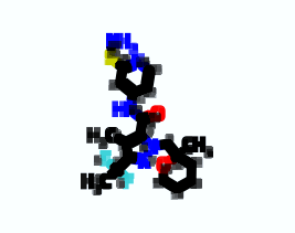 Cc1c(C(C)(F)F)nn(C[C@@]2(C)CCCCO2)c1C(=O)Nc1ccnc(SN)c1